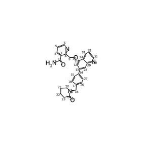 NC(=O)c1cccnc1COc1cc(-c2ccc(CN3CCCCC3=O)cc2)cc2ncccc12